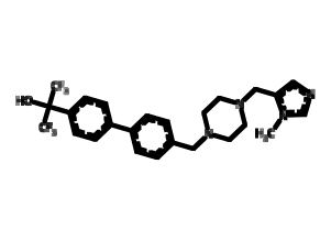 Cn1cncc1CN1CCN(Cc2ccc(-c3ccc(C(O)(C(F)(F)F)C(F)(F)F)cc3)cc2)CC1